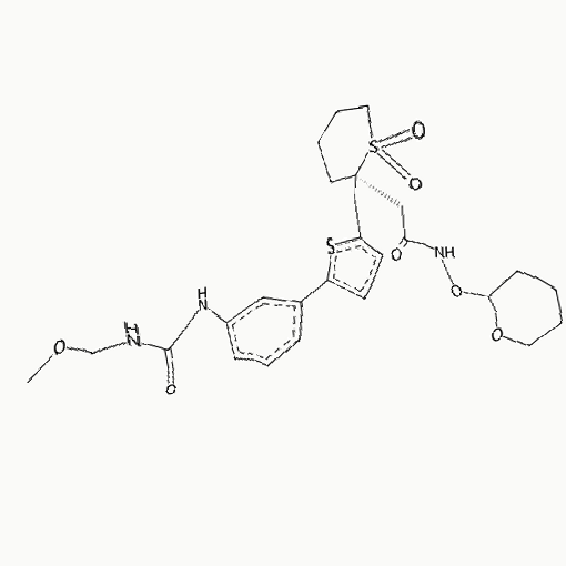 COCNC(=O)Nc1cccc(-c2ccc([C@@]3(CC(=O)NOC4CCCCO4)CCCCS3(=O)=O)s2)c1